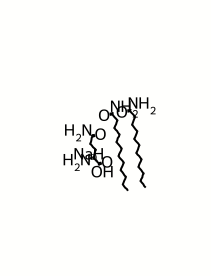 CCCCCCCCCCCC(N)=O.CCCCCCCCCCCC(N)=O.NC(=O)CC[C@H](N)C(=O)O.[NaH]